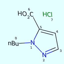 CCCCn1nccc1C(=O)O.Cl